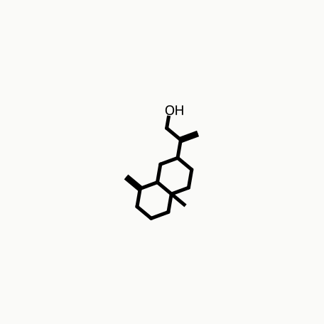 C=C(CO)C1CCC2(C)CCCC(=C)C2C1